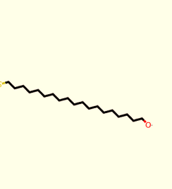 [O]CCCCCCCCCCCCCCCCCCCS